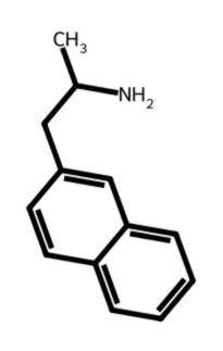 CC(N)Cc1ccc2ccccc2c1